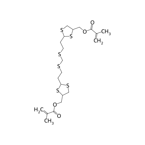 C=C(C)C(=O)OCC1CSC(CCSCSCCC2SCC(COC(=O)C(=C)C)S2)S1